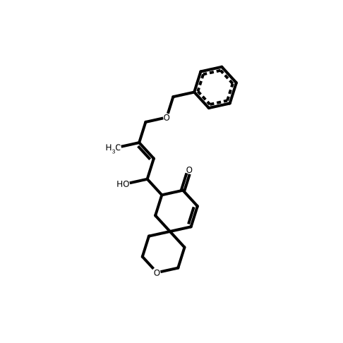 C/C(=C\C(O)C1CC2(C=CC1=O)CCOCC2)COCc1ccccc1